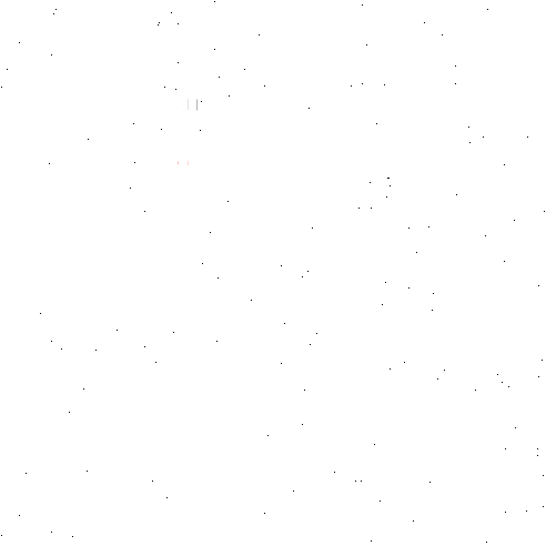 C=CC(=O)OCCCCCCCCCCCCCCCCCC.[CH3]